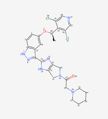 C[C@@H](Oc1ccc2[nH]nc(-c3nc4c([nH]3)CN(C(=O)CN3CCCCC3)C4)c2c1)c1c(Cl)cncc1Cl